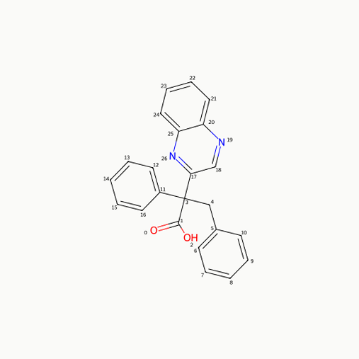 O=C(O)C(Cc1ccccc1)(c1ccccc1)c1cnc2ccccc2n1